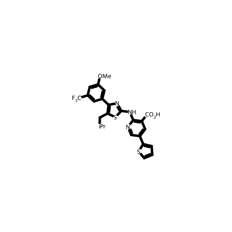 COc1cc(-c2nc(Nc3ncc(-c4cccs4)cc3C(=O)O)sc2CC(C)C)cc(C(F)(F)F)c1